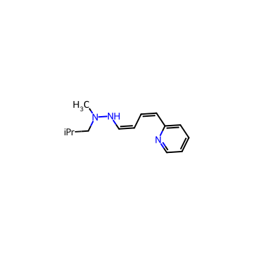 CC(C)CN(C)N/C=C\C=C/c1ccccn1